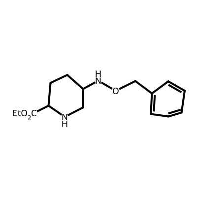 CCOC(=O)C1CCC(NOCc2ccccc2)CN1